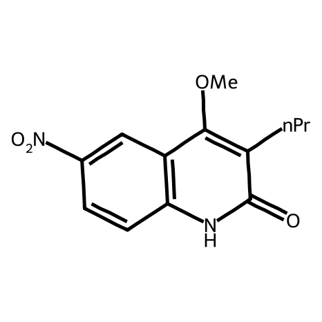 CCCc1c(OC)c2cc([N+](=O)[O-])ccc2[nH]c1=O